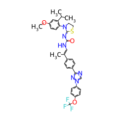 COc1ccc(N2CCS/C2=N\C(=O)N/C=C(\C)c2ccc(-c3ncn(-c4ccc(OC(F)(F)F)cc4)n3)cc2)c(C(C)C)c1